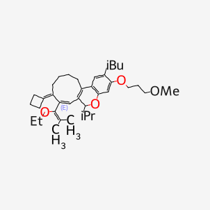 CCOC(=C(C)C)/C1=C/C2=C(CCCCC1=C1CCC1)c1cc(C(C)CC)c(OCCCOC)cc1OC2C(C)C